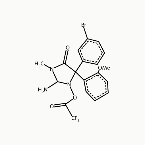 COc1ccccc1C1(c2cccc(Br)c2)C(=O)N(C)C(N)N1OC(=O)C(F)(F)F